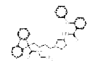 O=C(N[C@H]1CCN(CCCCC2(C(=O)NCC(F)(F)F)c3ccccc3-c3ccccc32)C1)c1ccccc1Oc1ccccc1